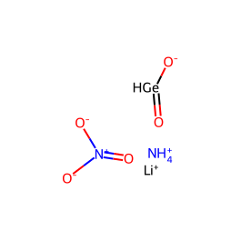 O=[N+]([O-])[O-].[Li+].[NH4+].[O]=[GeH][O-]